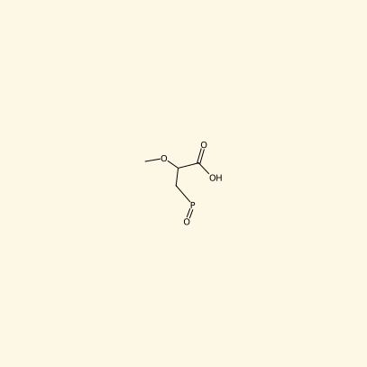 COC(CP=O)C(=O)O